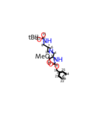 COC(=O)C(CN1CC(CNC(=O)OC(C)(C)C)C1)NC(=O)OCc1ccccc1